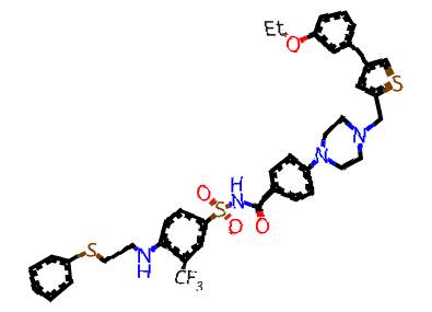 CCOc1cccc(-c2csc(CN3CCN(c4ccc(C(=O)NS(=O)(=O)c5ccc(NCCSc6ccccc6)c(C(F)(F)F)c5)cc4)CC3)c2)c1